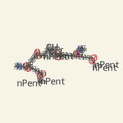 CCCCCC(CCCCC)CCOC(=O)CCCCCCCCC(CCCCCCCCC(=O)OCCC(CCCCC)CC(CCC)C(C)CCCC(CCCCC)CCOC(=O)CCCCCCCC1(CCCCCCCC(=O)OCCC(CCCCC)CCCCC)OCC(CCN2CCCC2)O1)OC(=O)CN1CCCC1